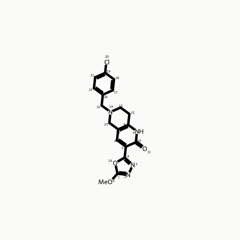 COc1nnc(-c2cc3c([nH]c2=O)CCN(Cc2ccc(Cl)cc2)C3)o1